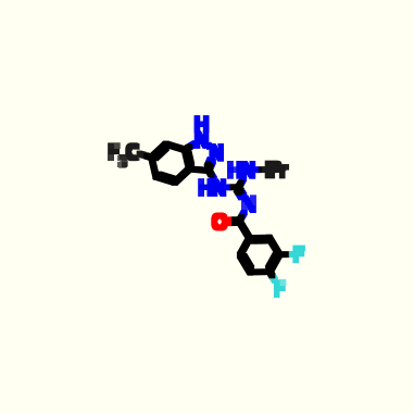 CC(C)N/C(=N/C(=O)c1ccc(F)c(F)c1)Nc1n[nH]c2cc(C(F)(F)F)ccc12